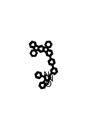 c1ccc(-c2nc(-c3cccc(-c4ccc(-c5ccc6c(c5)-c5cc7c(cc5C65CCCCC5)-c5ccccc5C75CCCCC5)cc4)c3)nc3oc4ccccc4c23)cc1